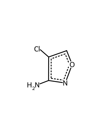 Nc1nocc1Cl